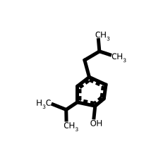 CC(C)Cc1ccc(O)c(C(C)C)c1